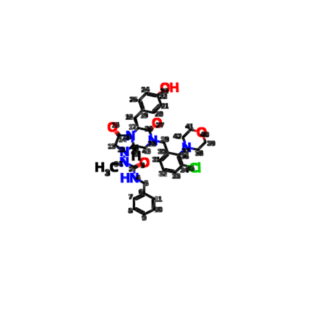 CN(C(=O)NCc1ccccc1)N1CC(=O)N2[C@@H](Cc3ccc(O)cc3)C(=O)N(Cc3cccc(Cl)c3N3CCOCC3)C[C@@H]21